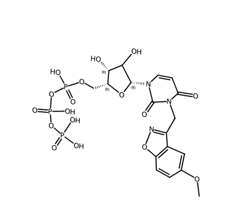 COc1ccc2onc(Cn3c(=O)ccn([C@@H]4O[C@H](COP(=O)(O)OP(=O)(O)OP(=O)(O)O)[C@H](O)C4O)c3=O)c2c1